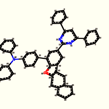 c1ccc(-c2cc(-c3ccccc3)nc(-c3cc(-c4ccc(N(c5ccccc5)c5ccccc5)cc4)c4oc5cc6ccccc6cc5c4c3)n2)cc1